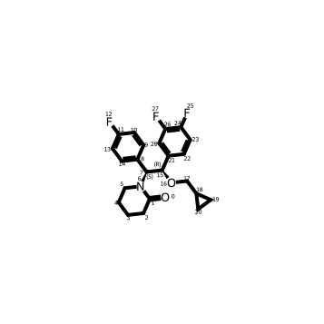 O=C1CCCCN1[C@@H](c1ccc(F)cc1)[C@H](OCC1CC1)c1ccc(F)c(F)c1